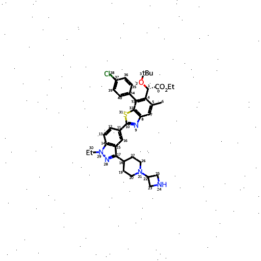 CCOC(=O)[C@@H](OC(C)(C)C)c1c(C)cc2nc(-c3ccc4c(c3)c(C3CCN(C5CNC5)CC3)nn4CC)sc2c1-c1ccc(Cl)cc1